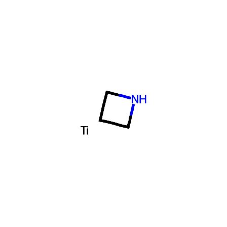 C1CNC1.[Ti]